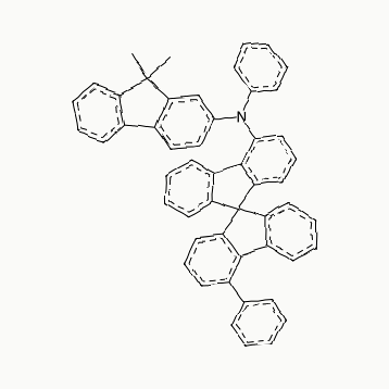 CC1(C)c2ccccc2-c2ccc(N(c3ccccc3)c3cccc4c3-c3ccccc3C43c4ccccc4-c4c(-c5ccccc5)cccc43)cc21